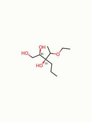 CCC[C@@](O)(C(C)OCC)[C@H](O)CO